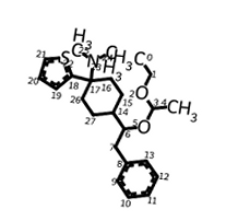 CCOC(C)OC(Cc1ccccc1)C1CCC(c2cccs2)(N(C)C)CC1